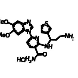 COc1cc2ncn(-c3ccc(C(N)=O)c(NC(CCN)c4ccsc4)n3)c2cc1OC.Cl